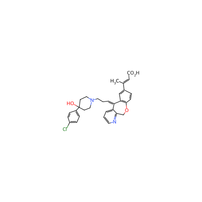 C/C(=C\C(=O)O)c1ccc2c(c1)/C(=C/CCN1CCC(O)(c3ccc(Cl)cc3)CC1)c1cccnc1CO2